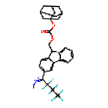 C/N=C(/c1ccc2c(c1)-c1ccccc1C2COC(=O)OC12CC3CC(CC(C3)C1)C2)C(F)(F)C(F)(F)C(F)(F)F